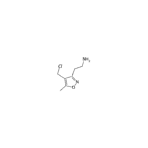 Cc1onc(CCN)c1CCl